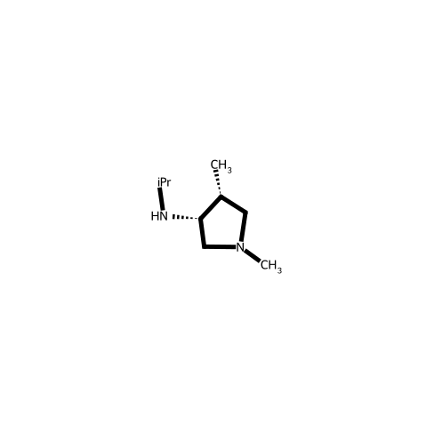 CC(C)N[C@H]1CN(C)C[C@H]1C